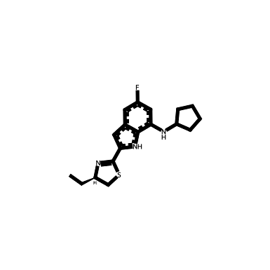 CC[C@@H]1CSC(c2cc3cc(F)cc(NC4CCCC4)c3[nH]2)=N1